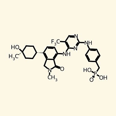 CN1Cc2c(c(Nc3nc(Nc4ccc(CP(=O)(O)O)cc4)ncc3C(F)(F)F)ccc2[C@H]2CC[C@](C)(O)CC2)C1=O